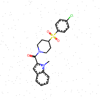 Cn1c(C(=O)N2CCC(S(=O)(=O)c3ccc(Cl)cc3)CC2)cc2ccccc21